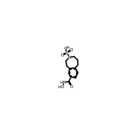 CCCS(=O)(=O)N1CCCc2ccc(C(=O)NO)cc2CC1